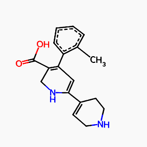 Cc1ccccc1C1=C(C(=O)O)CNC(C2=CCNCC2)=C1